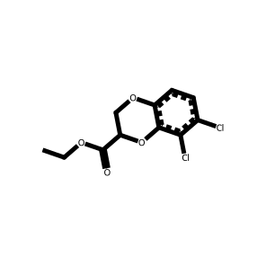 CCOC(=O)C1COc2ccc(Cl)c(Cl)c2O1